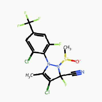 CC1=C(Cl)C(F)(C#N)N([S+](C)[O-])N1c1c(F)cc(C(F)(F)F)cc1Cl